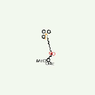 COc1cc(C=CC(=O)OCCCCCCCCCCC[PH](c2ccccc2)(c2ccccc2)c2ccccc2)ccc1OC(C)=O